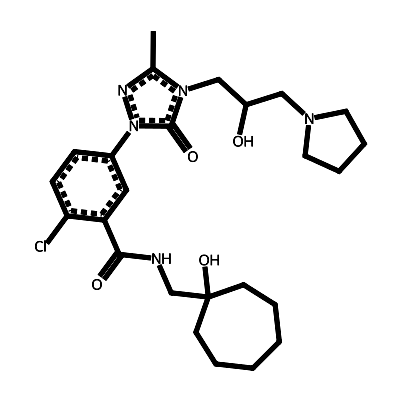 Cc1nn(-c2ccc(Cl)c(C(=O)NCC3(O)CCCCCC3)c2)c(=O)n1CC(O)CN1CCCC1